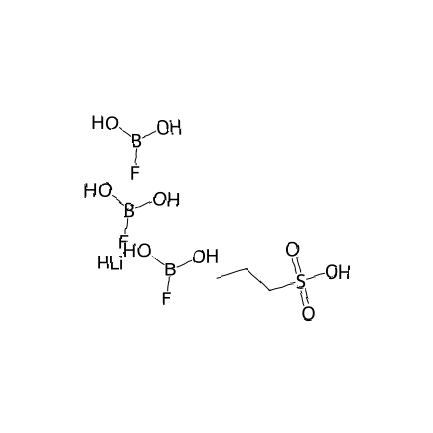 CCCS(=O)(=O)O.OB(O)F.OB(O)F.OB(O)F.[LiH]